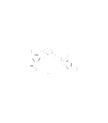 CN(CCO)C(=O)c1ccc(CN2CCN(C3CCN(c4ncc(C(F)(F)F)cc4F)CC3)C2=O)c(F)c1